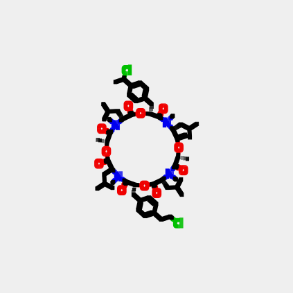 C=C1O[C@H](C)C(=O)N(C)[C@@H](CC(C)C)C(=O)O[C@H](Cc2ccc(CCCl)cc2)C(=O)N(C)C(CC(C)C)C(=O)O[C@H](C)C(=O)N(C)[C@@H](CC(C)C)C(=O)O[C@H](Cc2ccc(C(C)Cl)cc2)C(=O)N(C)[C@H]1CC(C)C